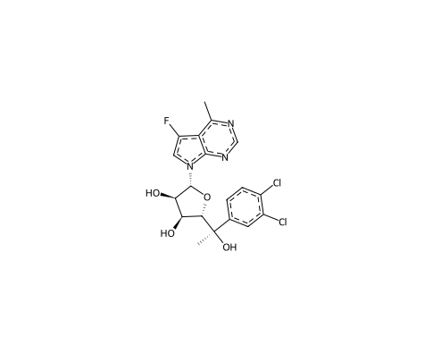 Cc1ncnc2c1c(F)cn2[C@@H]1O[C@H]([C@](C)(O)c2ccc(Cl)c(Cl)c2)[C@@H](O)[C@H]1O